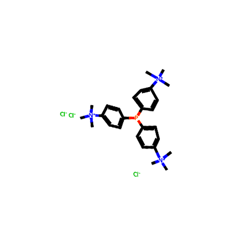 C[N+](C)(C)c1ccc(P(c2ccc([N+](C)(C)C)cc2)c2ccc([N+](C)(C)C)cc2)cc1.[Cl-].[Cl-].[Cl-]